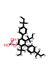 CCC(C)(C)c1ccc(-c2cc(OP(O)O)c(C(C)(C)CC)c(-c3ccc(C(C)(C)CC)cc3)c2C(C)(C)CC)cc1